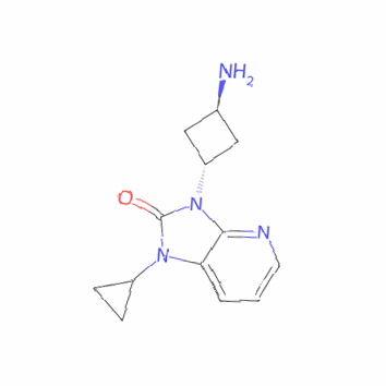 N[C@H]1C[C@H](n2c(=O)n(C3CC3)c3cccnc32)C1